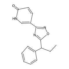 CCC(c1ccccc1)c1nc(-c2ccc(=O)[nH]c2)no1